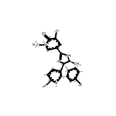 C[C@@H]1NC(c2cc(Cl)c(=O)n(C)c2)=N[C@]1(c1ccc(F)cc1)c1ccc(F)nc1